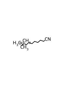 [CH3][Sn]([CH3])([CH3])[CH2]CCCCCCC#N